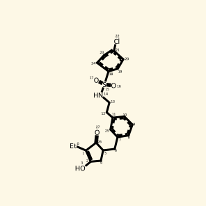 CCC1=C(O)CC(Cc2cccc(CCNS(=O)(=O)c3ccc(Cl)cc3)c2)C1=O